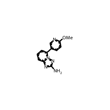 COc1ccc(-c2cccc3nc(N)nn23)cn1